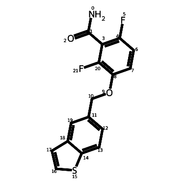 NC(=O)c1c(F)ccc(OCc2ccc3sccc3c2)c1F